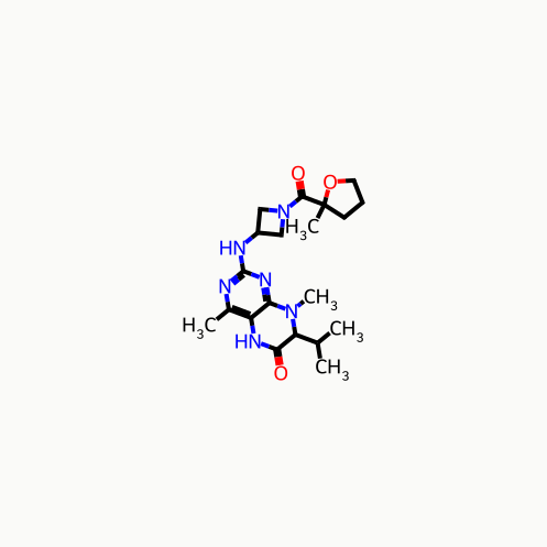 Cc1nc(NC2CN(C(=O)C3(C)CCCO3)C2)nc2c1NC(=O)C(C(C)C)N2C